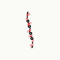 C=CC(=O)OCCCOc1ccc(C(=O)Oc2ccc(CCOC(=O)c3ccc(OC(=O)c4ccc(OCCCOC(=O)C=C)cc4)cc3)cc2)cc1